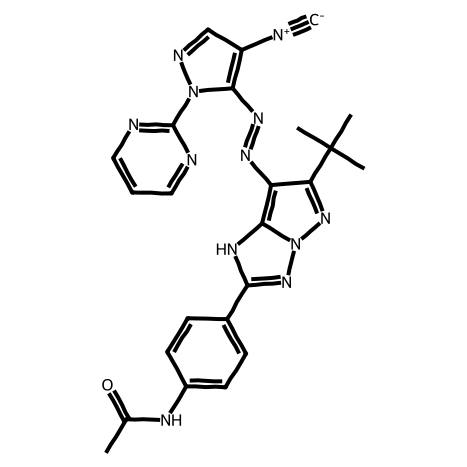 [C-]#[N+]c1cnn(-c2ncccn2)c1/N=N/c1c(C(C)(C)C)nn2nc(-c3ccc(NC(C)=O)cc3)[nH]c12